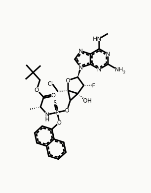 CNc1nc(N)nc2c1ncn2[C@@H]1O[C@]2(CCl)C(OP(=S)(N[C@H](C)C(=O)OCC(C)(C)C)Oc3cccc4ccccc34)[C@]2(O)[C@H]1F